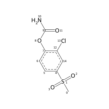 CS(=O)(=O)c1ccc(OC(N)=O)c(Cl)c1